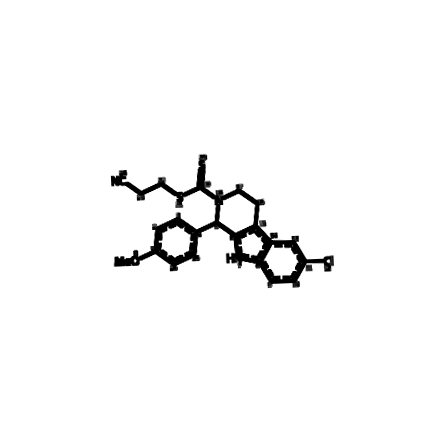 COc1ccc(C2c3[nH]c4ccc(Cl)cc4c3CCN2C(=S)SCCC#N)cc1